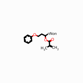 C=C(C)C(=O)OC(CCCCCCCCC)CCOc1ccccc1